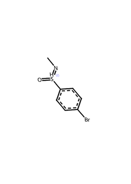 C/N=[SH](=O)/c1ccc(Br)cc1